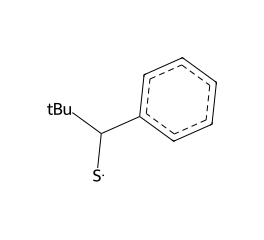 CC(C)(C)C([S])c1ccccc1